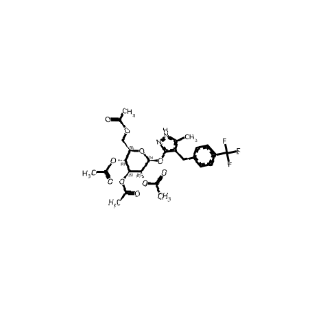 CC(=O)OC[C@H]1O[C@@H](Oc2n[nH]c(C)c2Cc2ccc(C(F)(F)F)cc2)[C@H](OC(C)=O)[C@@H](OC(C)=O)[C@@H]1OC(C)=O